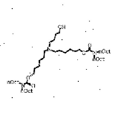 CCCCCCCCN(CCCCCCCC)C(=O)OCCCCCCN(CCCCO)CCCCCCOC(=O)N(CCCCCCCC)CCCCCCCC